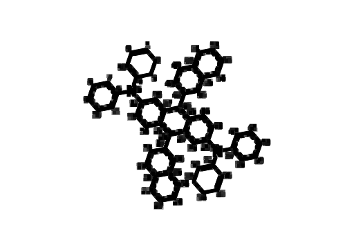 C1=CCCC(N(c2ccccc2)c2ccc3c(-c4ccc5ccccc5c4)c4cc(N(C5=CCCC=C5)c5ccccc5)ccc4c(-c4ccc5ccccc5c4)c3c2)=C1